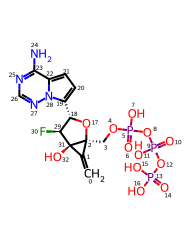 C=C1[C@]2(COP(=O)(O)OP(=O)(O)OP(=O)(O)O)O[C@@H](c3ccc4c(N)ncnn34)[C@H](F)[C@@]12O